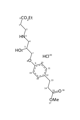 CCOC(=O)CCNCC(O)COc1ccc(CCC(=O)OC)cc1.Cl